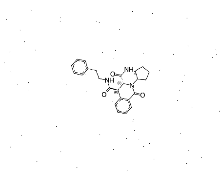 NC(=O)[C@H]1[C@H](C(=O)NCCc2ccccc2)c2ccccc2C(=O)N1C1CCCC1